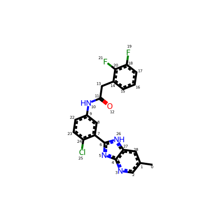 Cc1cnc2nc(-c3cc(NC(=O)Cc4cccc(F)c4F)ccc3Cl)[nH]c2c1